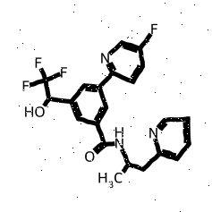 CC(Cc1ccccn1)NC(=O)c1cc(-c2ccc(F)cn2)cc(C(O)C(F)(F)F)c1